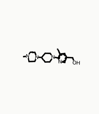 Cc1cc(CO)cnc1N1CCC(N2CCN(C)CC2)CC1